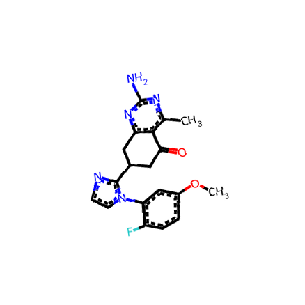 COc1ccc(F)c(-n2ccnc2C2CC(=O)c3c(C)nc(N)nc3C2)c1